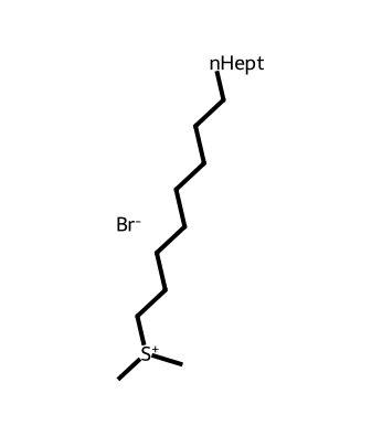 CCCCCCCCCCCCCCC[S+](C)C.[Br-]